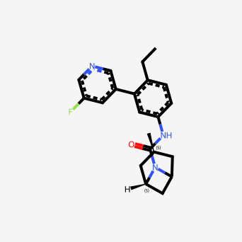 CCc1ccc(NC(=O)N2C3C[C@H](C)C[C@H]2C3)cc1-c1cncc(F)c1